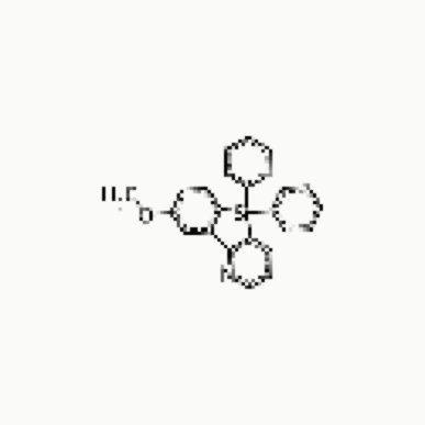 COc1ccc2c(c1)-c1ncccc1[Si]2(c1ccccc1)c1ccccc1